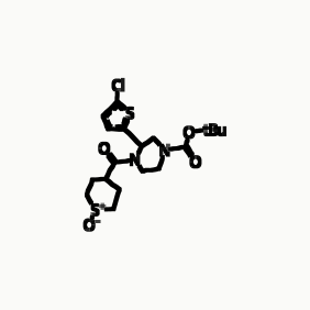 CC(C)(C)OC(=O)N1CCN(C(=O)C2CC[S+]([O-])CC2)C(c2ccc(Cl)s2)C1